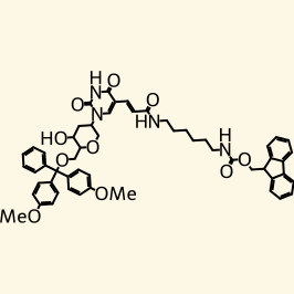 COc1ccc(C(OCC2OCC(n3cc(/C=C/C(=O)NCCCCCCNC(=O)OCC4c5ccccc5-c5ccccc54)c(=O)[nH]c3=O)CC2O)(c2ccccc2)c2ccc(OC)cc2)cc1